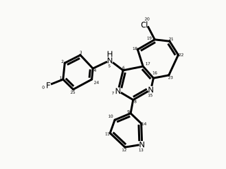 Fc1ccc(Nc2nc(-c3cccnc3)nc3c2C=C(Cl)C=CC3)cc1